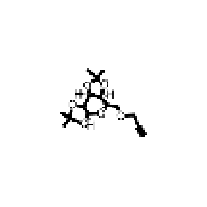 C#CCOCC1O[C@@H]2OC(C)(C)OC2[C@H]2OC(C)(C)O[C@@H]12